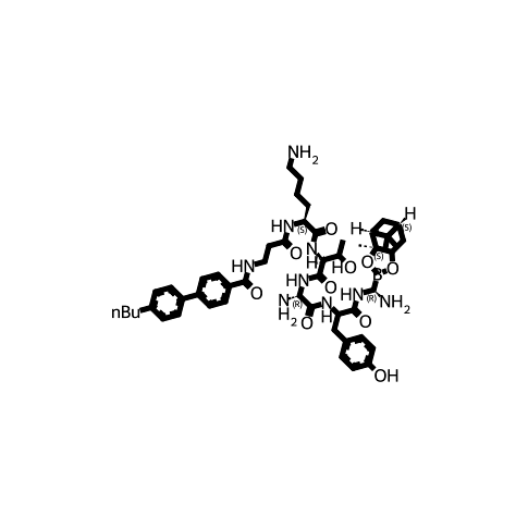 CCCCc1ccc(-c2ccc(C(=O)NCCC(=O)N[C@@H](CCCCN)C(=O)N[C@H](C(=O)N[C@@H](N)C(=O)NC(Cc3ccc(O)cc3)C(=O)N[C@@H](N)B3OC4C[C@@H]5C[C@@H](C5(C)C)[C@]4(C)O3)C(C)O)cc2)cc1